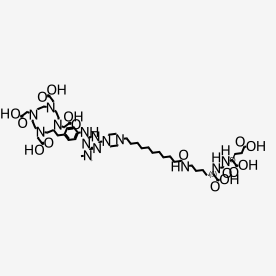 CN(C)c1nc(Nc2ccc(CC3CN(CC(=O)O)CCN(CC(=O)O)CCN(CC(=O)O)CCN3CC(=O)O)cc2)nc(N2CCN(CCCCCCCCCCC(=O)NCCCC[C@H](NC(=O)N[C@@H](CCC(=O)O)C(=O)O)C(=O)O)CC2)n1